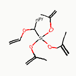 C=COC(CCC)[Si](OC(=C)C)(OC(=C)C)OC(=C)C